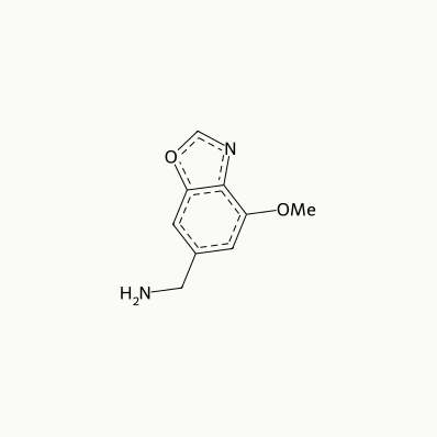 COc1cc(CN)cc2ocnc12